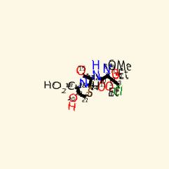 CCOC(CCl)(OCC)C(=NOC)C(=O)NC1C(=O)N2C(C(=O)O)C(O)CS[C@H]12